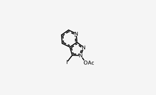 CC(=O)On1nc2ncccc2c1I